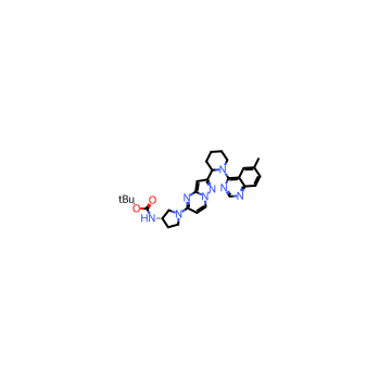 Cc1ccc2ncnc(N3CCCCC3c3cc4nc(N5CC[C@H](NC(=O)OC(C)(C)C)C5)ccn4n3)c2c1